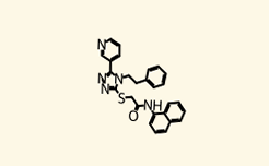 O=C(CSc1nnc(-c2cccnc2)n1CCc1ccccc1)Nc1cccc2ccccc12